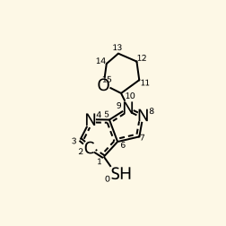 Sc1ccnc2c1cnn2C1CCCCO1